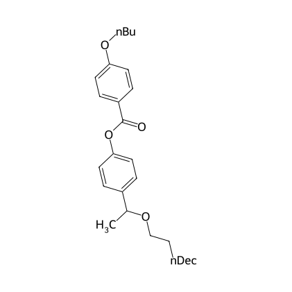 CCCCCCCCCCCCOC(C)c1ccc(OC(=O)c2ccc(OCCCC)cc2)cc1